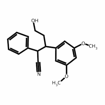 COc1cc(OC)cc(C(CCO)C(C#N)c2ccccc2)c1